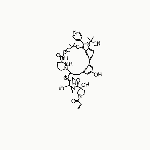 C=CC(=O)N1CCC(O)(C(=O)N(C)[C@H](C(=O)N[C@H]2Cc3cc(O)cc(c3)-c3ccc4c(c3)c(c(-c3ccncc3)n4C(C)(C)C#N)CC(C)(C)COC(=O)[C@@]3(O)CCCN(N3)C2=O)C(C)C)C1